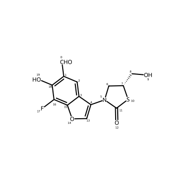 O=Cc1cc2c(N3C[C@H](CO)SC3=O)coc2c(F)c1O